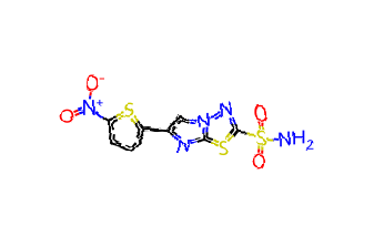 NS(=O)(=O)c1nn2cc(-c3ccc([N+](=O)[O-])s3)nc2s1